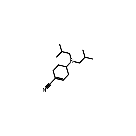 CC(C)CN(CC(C)C)C1CC=C(C#N)CC1